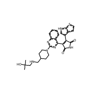 CC(C)(O)CNCC1CCN(c2nc(C3=C(c4c[nH]c5sccc45)C(=O)NC3=O)c3ccccc3n2)CC1